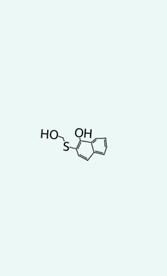 OCSc1ccc2ccccc2c1O